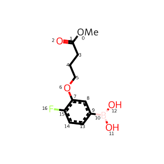 COC(=O)CCCOc1cc(B(O)O)ccc1F